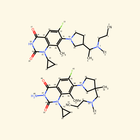 CCN(CCC#N)C(C)C1CCN(c2c(F)cc3c(=O)[nH]c(=O)n(C4CC4)c3c2C)C1.CCN(CCC#N)CC1(C)CCN(c2c(F)cc3c(=O)n(N)c(=O)n(C4CC4)c3c2OC)C1